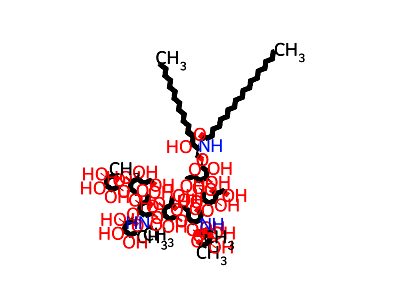 CCCCCCCCCCCCC/C=C/[C@@H](O)[C@H](CO[C@@H]1OC(CO)[C@@H](O[C@@H]2OC(CO)[C@H](O)[C@H](O[C@@H]3OC(CO)[C@@H](O[C@@H]4OC(CO)[C@H](O)[C@H](O[C@@H]5OC(CO)[C@@H](O[C@@H]6OC(CO)[C@H](O)[C@H](O)C6O[C@H]6OC(C)[C@@H](O)C(O)[C@@H]6O)[C@H](O[C@H]6OC(C)[C@@H](O)C(O)[C@@H]6O)C5NC(C)=O)C4O)[C@H](O[C@H]4OC(C)[C@@H](O)C(O)[C@@H]4O)C3NC(C)=O)C2O)[C@H](O)C1O)NC(=O)CCCCCCCCCCCCCCCCCCC